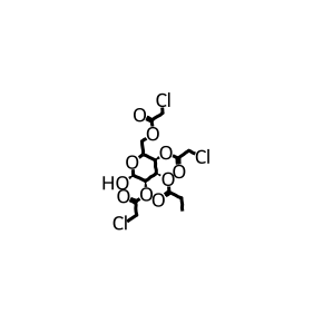 CCC(=O)O[C@@H]1[C@@H](OC(=O)CCl)[C@@H](O)OC(COC(=O)CCl)[C@H]1OC(=O)CCl